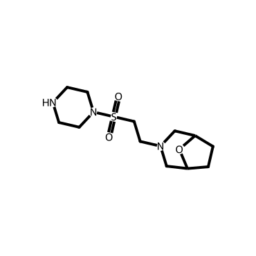 O=S(=O)(CCN1CC2CCC(C1)O2)N1CCNCC1